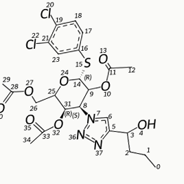 CCCC(O)c1cn([C@@H]2C(OC(C)=O)[C@@H](Sc3ccc(Cl)c(Cl)c3)OC(COC(C)=O)[C@@H]2OC(C)=O)nn1